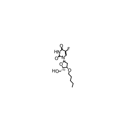 CCCCCOC1C[C@@H](n2cc(F)c(=O)[nH]c2=O)O[C@H]1CO